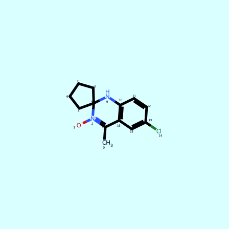 CC1=[N+]([O-])C2(CCCC2)Nc2ccc(Cl)cc21